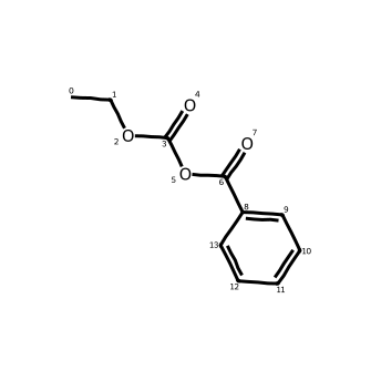 CCOC(=O)OC(=O)c1ccccc1